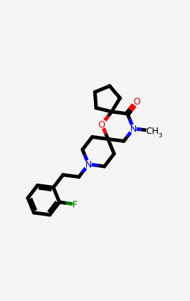 CN1CC2(CCN(CCc3ccccc3F)CC2)OC2(CCCC2)C1=O